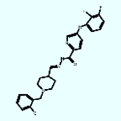 O=C(NN=CC1CCN(Cc2ccccc2Cl)CC1)c1ccc(Nc2cccc(F)c2F)cn1